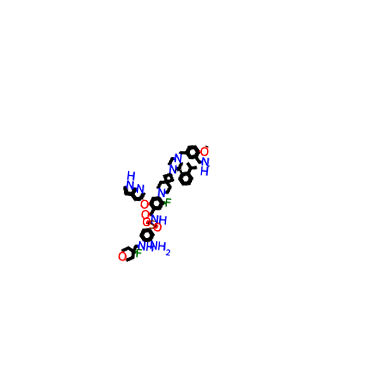 CNCc1cc(CN2CCN(C3CC4(CCN(c5cc(Oc6cnc7[nH]ccc7c6)c(C(=O)NS(=O)(=O)c6ccc(NCC7(F)CCOCC7)c(N)c6)cc5F)CC4)C3)[C@H](c3ccccc3C(C)C)C2)ccc1OC